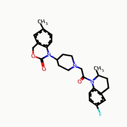 Cc1ccc2c(c1)COC(=O)N2C1CCN(CC(=O)N2c3ccc(F)cc3CCC2C)CC1